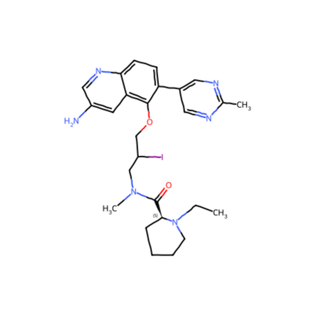 CCN1CCCC[C@H]1C(=O)N(C)CC(I)COc1c(-c2cnc(C)nc2)ccc2ncc(N)cc12